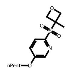 CCCCCOc1ccc(S(=O)(=O)C2(C)COC2)nc1